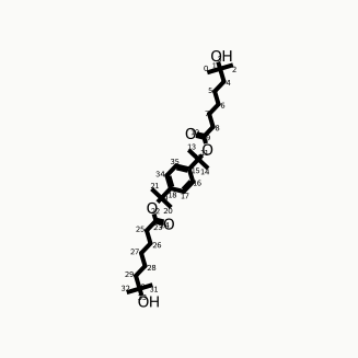 CC(C)(O)CCCCCC(=O)OC(C)(C)c1ccc(C(C)(C)OC(=O)CCCCCC(C)(C)O)cc1